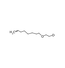 C=CCCCCCCOCC[O]